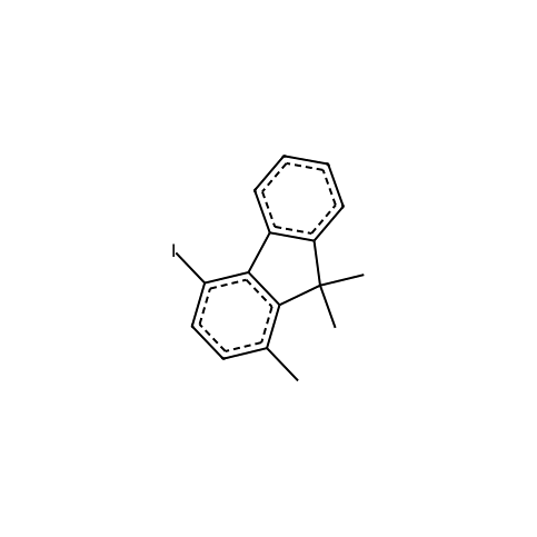 Cc1ccc(I)c2c1C(C)(C)c1ccccc1-2